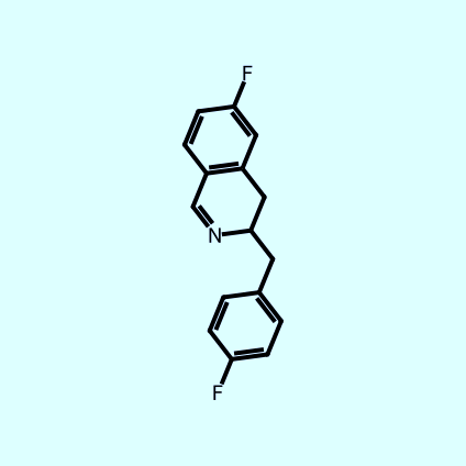 Fc1ccc(CC2Cc3cc(F)ccc3C=N2)cc1